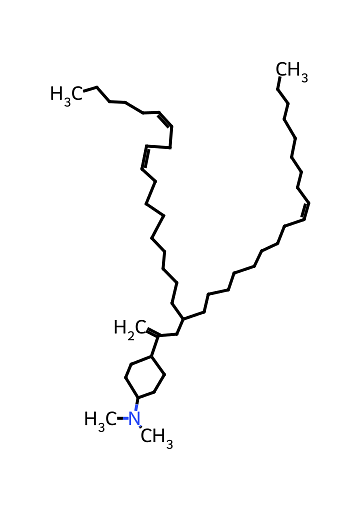 C=C(CC(CCCCCCCC/C=C\C/C=C\CCCCC)CCCCCCCC/C=C\CCCCCCCC)C1CCC(N(C)C)CC1